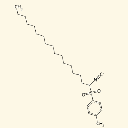 [C-]#[N+]C(CCCCCCCCCCCCCCCC)S(=O)(=O)c1ccc(C)cc1